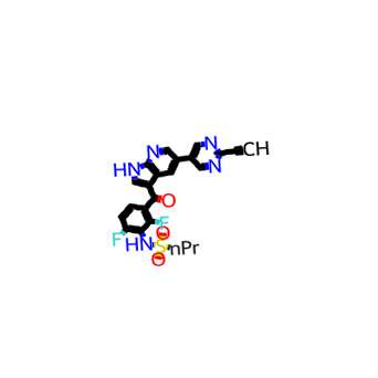 C#Cc1ncc(-c2cnc3[nH]cc(C(=O)c4ccc(F)c(NS(=O)(=O)CCC)c4F)c3c2)cn1